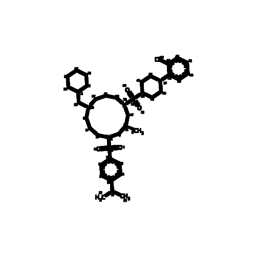 C[C@H]1CN(S(=O)(=O)c2ccc(N(C)C)cc2)CCCN(CC2CCCCC2)CCCN(S(=O)(=O)N2CCN(c3ccccc3Cl)CC2)C1